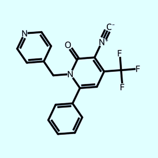 [C-]#[N+]c1c(C(F)(F)F)cc(-c2ccccc2)n(Cc2ccncc2)c1=O